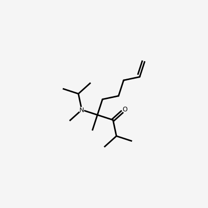 C=CCCCC(C)(C(=O)C(C)C)N(C)C(C)C